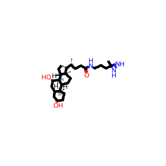 C[C@H](CCC(=O)NCCCC1(C)NN1)[C@H]1CC[C@H]2[C@@H]3[C@@H](O)CC4C[C@H](O)CC[C@]4(C)[C@H]3CC[C@]12C